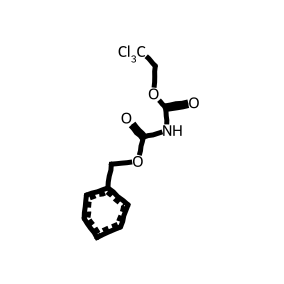 O=C(NC(=O)OCC(Cl)(Cl)Cl)OCc1ccccc1